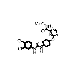 CONC(=O)c1ncnc(Oc2ccc(NC(=O)Nc3ccc(Cl)c(Cl)c3)cc2)n1